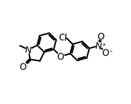 CN1C(=O)Cc2c(Oc3ccc([N+](=O)[O-])cc3Cl)cccc21